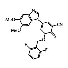 COc1cc2ncn(C3=CC(OCc4c(F)cccc4F)C(=S)C(C#N)=C3)c2cc1OC